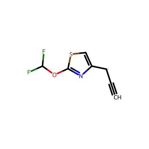 C#C[CH]c1csc(OC(F)F)n1